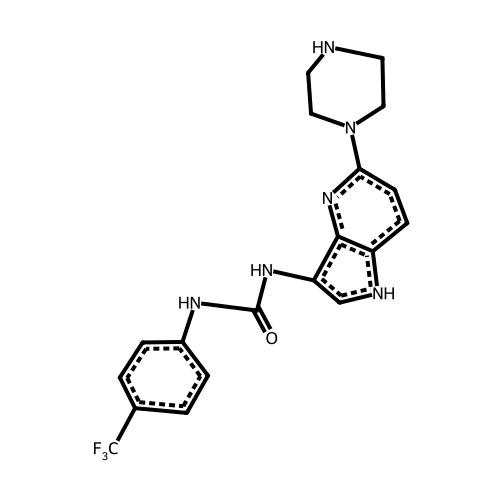 O=C(Nc1ccc(C(F)(F)F)cc1)Nc1c[nH]c2ccc(N3CCNCC3)nc12